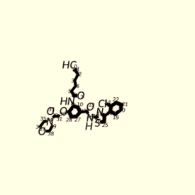 C#CCCCCC(=O)Nc1cc(C(=O)Nc2nc(-c3ccccc3Cl)cs2)ccc1OCC(=O)N1CCOCC1